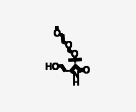 COCCOCOC(C)(C)[C@@H]1C(=O)N[C@@H]1CCO